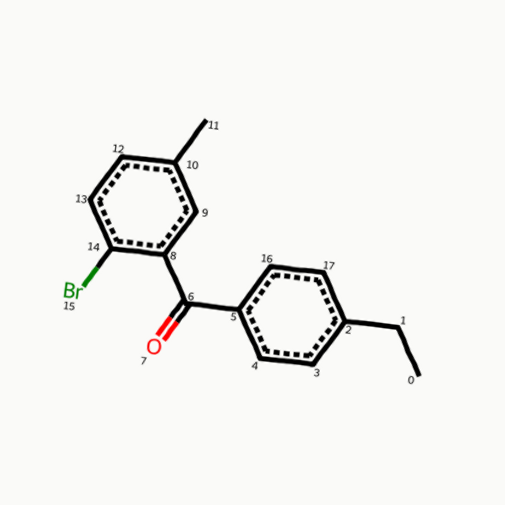 CCc1ccc(C(=O)c2cc(C)ccc2Br)cc1